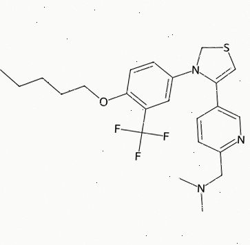 CCCCCOc1ccc(N2CSC=C2c2ccc(CN(C)C)nc2)cc1C(F)(F)F